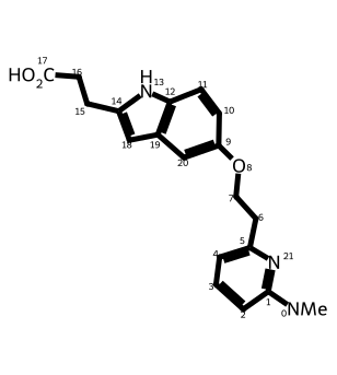 CNc1cccc(CCOc2ccc3[nH]c(CCC(=O)O)cc3c2)n1